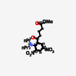 CCCN(CCC)c1c(C(=O)CCCC(=O)OC)cc([N+](=O)[O-])cc1[N+](=O)[O-]